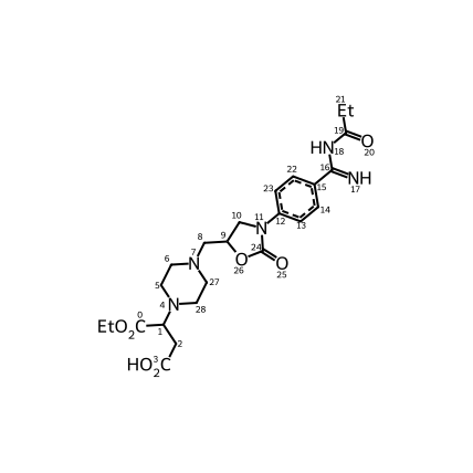 CCOC(=O)C(CC(=O)O)N1CCN(CC2CN(c3ccc(C(=N)NC(=O)CC)cc3)C(=O)O2)CC1